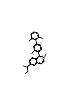 CCC(C)c1ccc2c(-c3ccc(-c4c(C)cccc4C)cc3C)[n+](C)ccc2c1